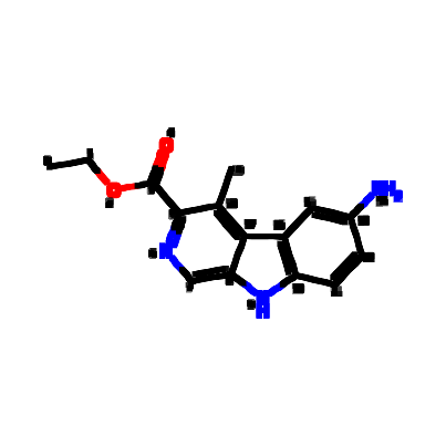 CCOC(=O)c1ncc2[nH]c3ccc(N)cc3c2c1C